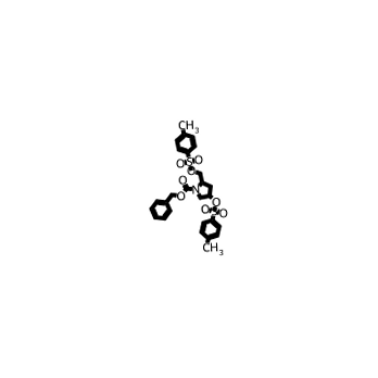 Cc1ccc(S(=O)(=O)OCC2CC(OS(=O)(=O)c3ccc(C)cc3)CN2C(=O)OCc2ccccc2)cc1